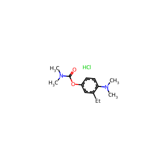 CCc1cc(OC(=O)N(C)C)ccc1N(C)C.Cl